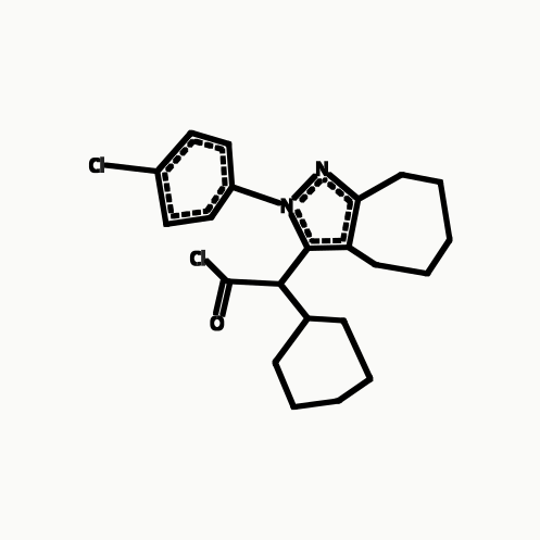 O=C(Cl)C(c1c2c(nn1-c1ccc(Cl)cc1)CCCCC2)C1CCCCC1